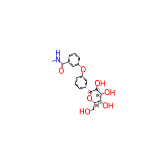 CNC(=O)c1cccc(Oc2cccc([C@H]3O[C@H](CO)[C@@H](O)[C@H](O)[C@@H]3O)c2)c1